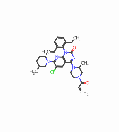 C=CC(=O)N1CCN(c2nc(=O)n(-c3c(CC)cccc3CC)c3nc(N4CCCC(C)C4)c(Cl)cc23)C(C)C1